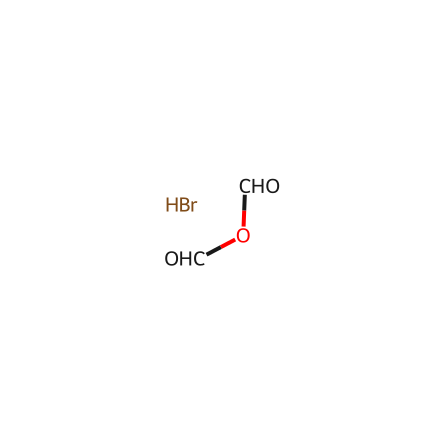 Br.O=COC=O